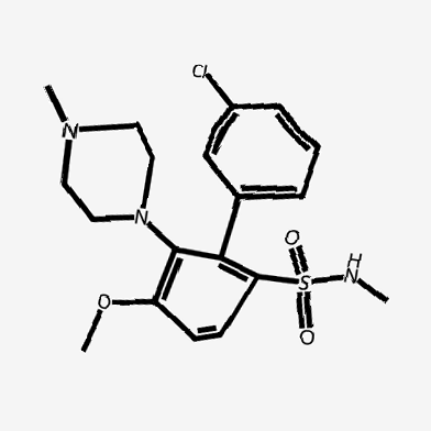 CNS(=O)(=O)c1ccc(OC)c(N2CCN(C)CC2)c1-c1cccc(Cl)c1